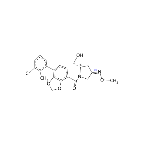 CO/N=C1/C[C@@H](CO)N(C(=O)c2ccc(-c3cccc(Cl)c3C)c3c2OCO3)C1